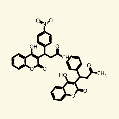 CC(=O)CC(c1ccc([N+](=O)[O-])cc1)c1c(O)c2ccccc2oc1=O.CC(=O)CC(c1ccccc1)c1c(O)c2ccccc2oc1=O